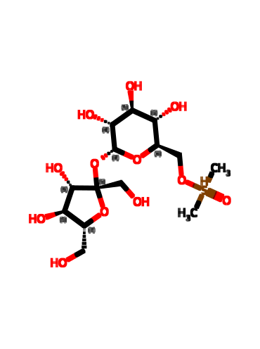 C[SH](C)(=O)OC[C@H]1O[C@H](O[C@]2(CO)O[C@H](CO)[C@@H](O)[C@@H]2O)[C@H](O)[C@@H](O)[C@@H]1O